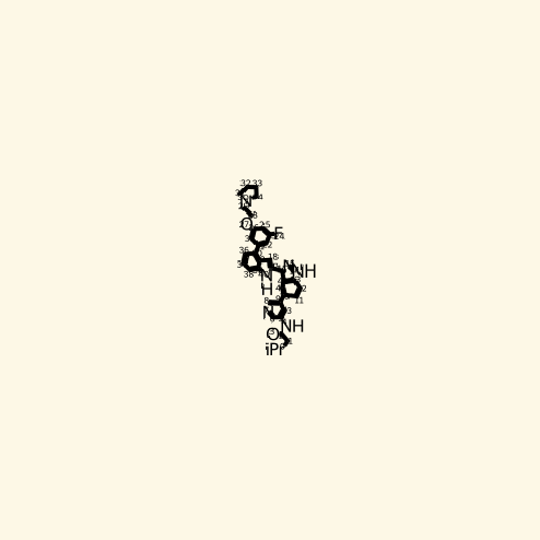 CC(C)CC(=O)Nc1cncc(-c2ccc3[nH]nc(-c4cc5c(-c6cc(F)cc(OCCN7CCCC7)c6)cccc5[nH]4)c3c2)c1